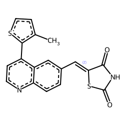 Cc1ccsc1-c1ccnc2ccc(/C=C3\SC(=O)NC3=O)cc12